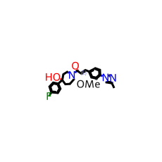 COc1cc(/C=C/C(=O)N2CCCC(O)(c3ccc(F)cc3)CC2)ccc1-n1cnc(C)c1